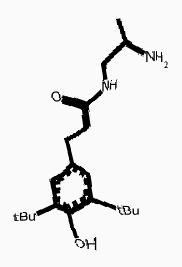 CC(N)CNC(=O)CCc1cc(C(C)(C)C)c(O)c(C(C)(C)C)c1